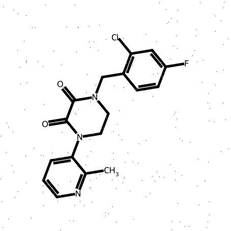 Cc1ncccc1N1CCN(Cc2ccc(F)cc2Cl)C(=O)C1=O